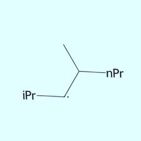 CCCC(C)[CH]C(C)C